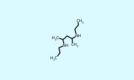 CCCNC(C)CC(C)NCCC